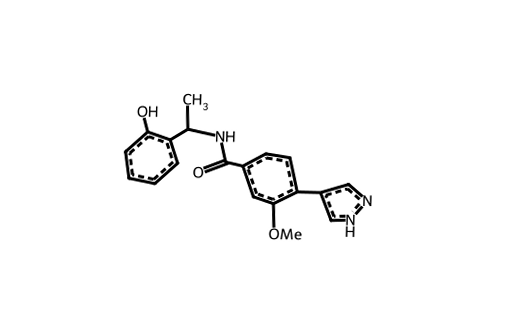 COc1cc(C(=O)NC(C)c2ccccc2O)ccc1-c1cn[nH]c1